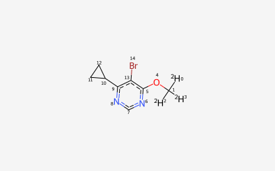 [2H]C([2H])([2H])Oc1ncnc(C2CC2)c1Br